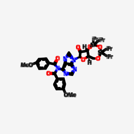 COc1ccc(C(=O)N(C(=O)c2ccc(OC)cc2)c2ncnc3c2ncn3[C@@H]2O[C@@H]3CO[Si](C(C)C)(C(C)C)O[Si](C(C)C)(C(C)C)O[C@H]3C2=O)cc1